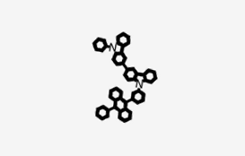 c1ccc(-c2c3ccccc3c(-c3cccc(-n4c5ccccc5c5cc(-c6ccc7c(c6)c6ccccc6n7-c6ccccc6)ccc54)c3)c3ccccc23)cc1